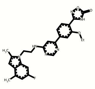 CCOc1cc(-c2cc(NCCn3c(C)cc4c(C)cc(F)cc43)ncn2)ccc1-c1noc(=O)[nH]1